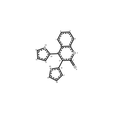 O=c1oc2ccccc2c(-c2cccs2)c1-c1cccs1